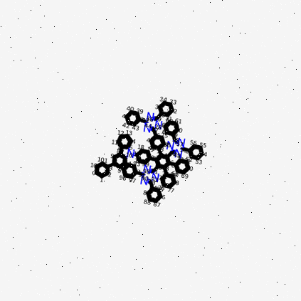 c1ccc(-c2ccc3c(c2)c2ccccc2n3-c2ccc(-c3c(-c4ccc(-c5nc(-c6ccccc6)nc(-c6ccccc6)n5)cc4)c(-c4nc(-c5ccccc5)nc(-c5ccccc5)n4)c(-c4ccccc4)c(-c4ccccc4)c3-c3nc(-c4ccccc4)nc(-c4ccccc4)n3)cc2)cc1